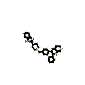 c1ccc(-c2nc3cnccc3nc2-c2ccc(CN3CCC(c4nc5ccccc5[nH]4)CC3)cc2)cc1